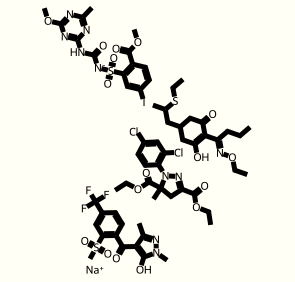 CCC/C(=N\OCC)C1=C(O)CC(CC(C)SCC)CC1=O.CCOC(=O)C1=NN(c2ccc(Cl)cc2Cl)C(C)(C(=O)OCC)C1.COC(=O)c1ccc(I)cc1S(=O)(=O)[N-]C(=O)Nc1nc(C)nc(OC)n1.Cc1nn(C)c(O)c1C(=O)c1ccc(C(F)(F)F)cc1S(C)(=O)=O.[Na+]